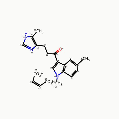 Cc1ccc2c(c1)c(C(=O)CCc1nc[nH]c1C)cn2C.O=C(O)/C=C\C(=O)O